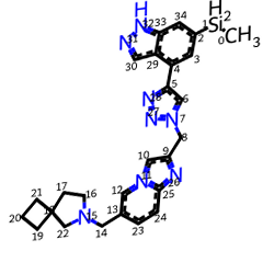 C[SiH2]c1cc(-c2cn(Cc3cn4cc(CN5CCC6(CCC6)C5)ccc4n3)nn2)c2cn[nH]c2c1